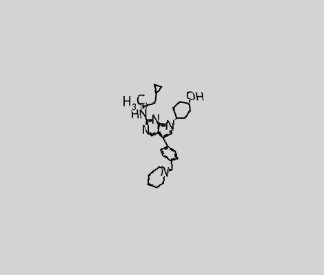 C[C@@H](CC1CC1)Nc1ncc2c(-c3ccc(CN4CCCCC4)cc3)cn([C@H]3CC[C@H](O)CC3)c2n1